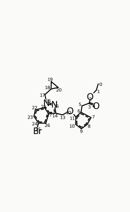 CCOC(=O)Cc1ccccc1OCc1nn(CC2CC2)c2ccc(Br)cc12